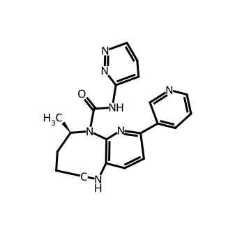 C[C@@H]1CCCNc2ccc(-c3cccnc3)nc2N1C(=O)Nc1cccnn1